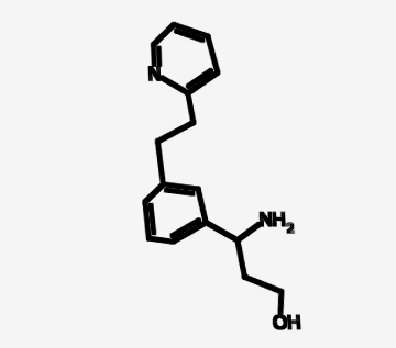 NC(CCO)c1cccc(CCc2ccccn2)c1